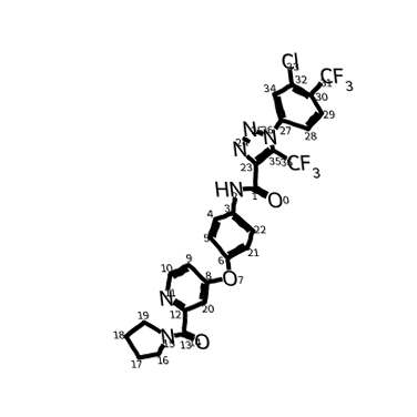 O=C(Nc1ccc(Oc2ccnc(C(=O)N3CCCC3)c2)cc1)c1nnn(-c2ccc(C(F)(F)F)c(Cl)c2)c1C(F)(F)F